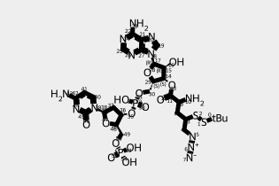 CC(C)(C)SSC(CN=[N+]=[N-])CC(N)C(=O)O[C@H]1[C@@H](O)[C@H](n2cnc3c(N)ncnc32)O[C@H]1COP(=O)(O)O[C@H]1C[C@H](n2ccc(N)nc2=O)O[C@@H]1COP(=O)(O)O